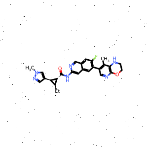 CC[C@@H]1[C@@H](C(=O)Nc2cc3cc(-c4cnc5c(c4C)NCCO5)c(F)cc3cn2)[C@@H]1c1cnn(C)c1